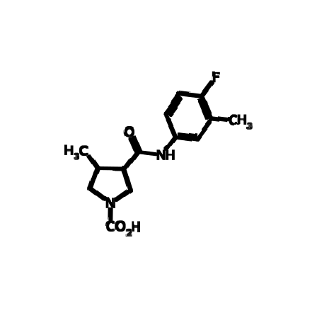 Cc1cc(NC(=O)C2CN(C(=O)O)CC2C)ccc1F